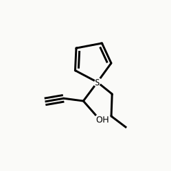 C#CC(O)S1(CCC)C=CC=C1